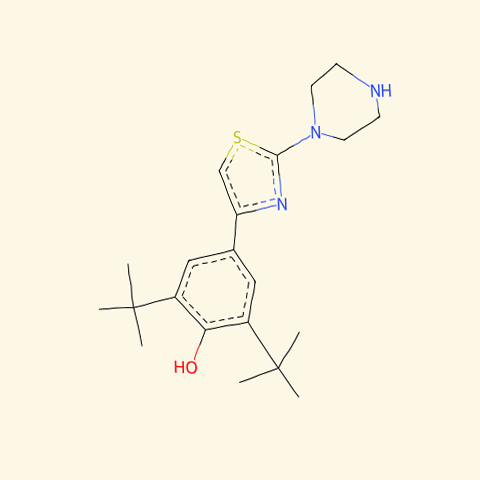 CC(C)(C)c1cc(-c2csc(N3CCNCC3)n2)cc(C(C)(C)C)c1O